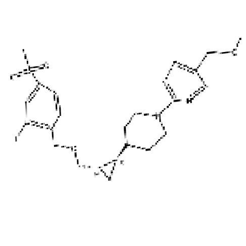 COCc1cnc(N2CCC([C@H]3C[C@@H]3COCc3ccc(S(C)(=O)=O)cc3F)CC2)nc1